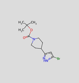 CC(C)(C)OC(=O)N1CCC(c2cc(Br)[nH]n2)CC1